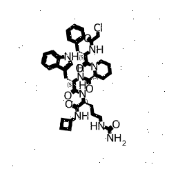 NC(=O)NCCC[C@H](NC(=O)[C@H](Cc1c[nH]c2ccccc12)NC(=O)[C@@H]1CCCCN1C(=O)[C@H](Cc1ccccc1)NC(=O)CCl)C(=O)NC1CCC1